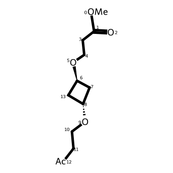 COC(=O)CCO[C@H]1C[C@H](OCCC(C)=O)C1